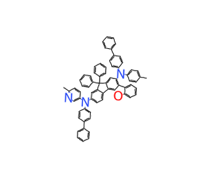 Cc1ccc(N(c2ccc(-c3ccccc3)cc2)c2cc3c(c4oc5ccccc5c24)-c2ccc(N(c4ccc(-c5ccccc5)cc4)c4ccc(C)nc4)cc2C3(c2ccccc2)c2ccccc2)cc1